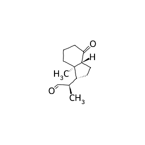 C[C@@H](C=O)[C@H]1CC[C@H]2C(=O)CCC[C@]12C